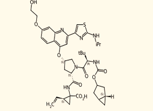 C=C[C@@H]1CC1(NC(=O)[C@@H]1C[C@H](Oc2cc(-c3csc(NC(C)C)n3)nc3cc(OCCO)ccc23)CN1C(=O)[C@H](NC(=O)OC1CC2C[C@H]2C1)C(C)(C)C)C(=O)O